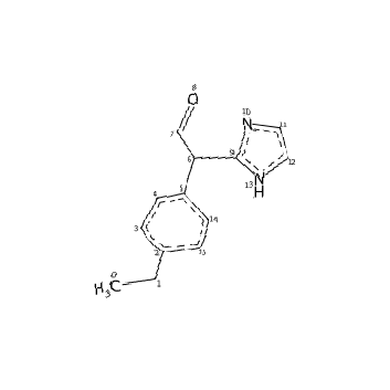 CCc1ccc(C(C=O)c2ncc[nH]2)cc1